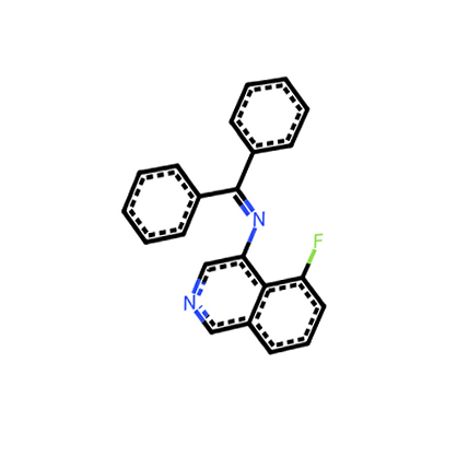 Fc1cccc2cncc(N=C(c3ccccc3)c3ccccc3)c12